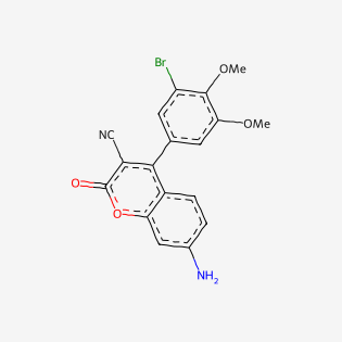 COc1cc(-c2c(C#N)c(=O)oc3cc(N)ccc23)cc(Br)c1OC